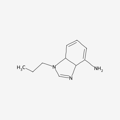 CCCN1C=NC2C(N)=CC=CC21